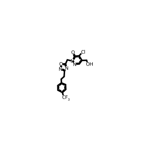 O=c1c(Cl)c(CO)cnn1Cc1nc(CCc2ccc(C(F)(F)F)cc2)no1